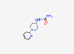 NC(=O)NC1CCN(c2ccccn2)CC1